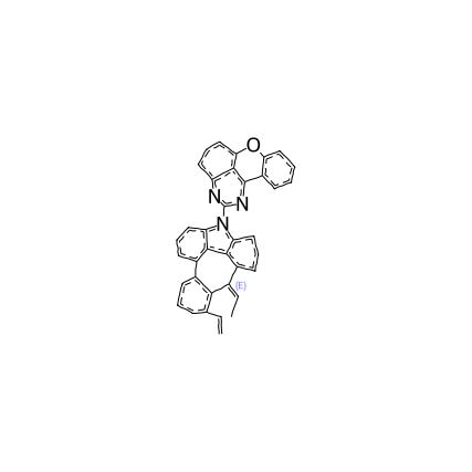 C=Cc1cccc2c1/C(=C\C)c1cccc3c1c1c-2cccc1n3-c1nc2c3c(cccc3n1)Oc1ccccc1-2